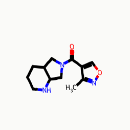 Cc1nocc1C(=O)N1CC2CCCNC2C1